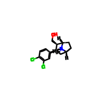 CN1[C@@H]2CC[C@H]1[C@H](CO)[C@H](c1ccc(Cl)c(Cl)c1)C2